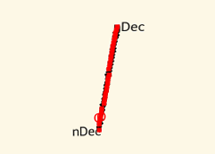 CCCCCCCCCCCCCCCCCCCCCCCCCCCCCCCCCCCCCCCCCCCCCCCCCCCCCCCCCCCCCCCCOC(=O)CCCCCCCCCCCCCCCCC